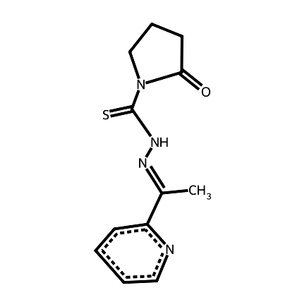 CC(=NNC(=S)N1CCCC1=O)c1ccccn1